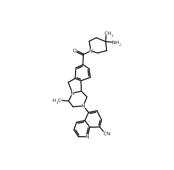 CC1CN(c2ccc(C#N)c3ncccc23)CC2c3ccc(C(=O)N4CCC(C)(N)CC4)cc3CN12